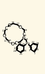 c1ccc(P(CN2CCOCCOCCOCCOCC2)c2ccccc2)cc1